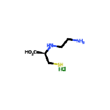 Cl.NCCN[C@@H](CS)C(=O)O